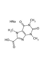 Cn1c(=O)c2c(nc(C(=O)O)n2C)n(C)c1=O.[NaH]